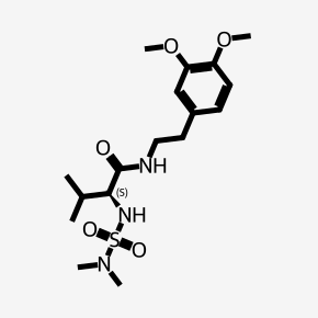 COc1ccc(CCNC(=O)[C@@H](NS(=O)(=O)N(C)C)C(C)C)cc1OC